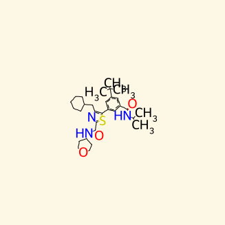 CC(C)NC(=O)c1cc(-c2sc(C(=O)NC3CCOCC3)nc2CC2CCCCC2)cc(C(C)(C)C)c1